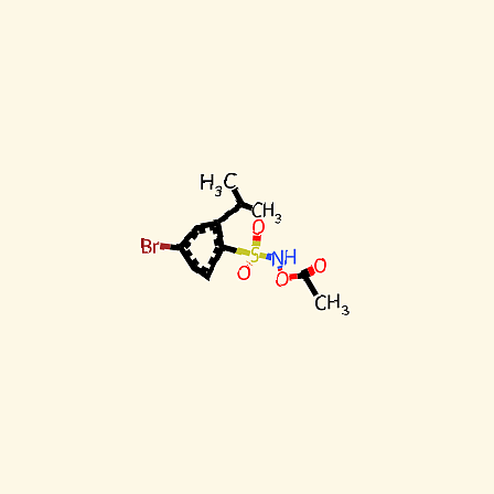 CC(=O)ONS(=O)(=O)c1ccc(Br)cc1C(C)C